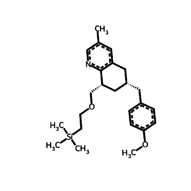 COc1ccc(C[C@H]2Cc3cc(C)cnc3[C@@H](COCC[Si](C)(C)C)C2)cc1